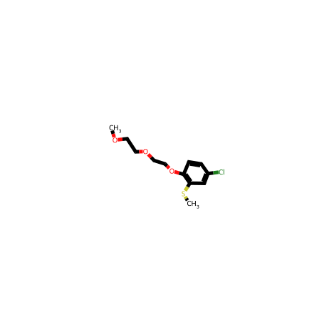 COCCOCCOc1ccc(Cl)cc1SC